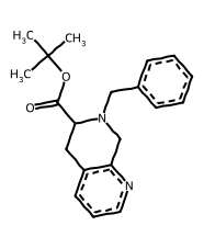 CC(C)(C)OC(=O)C1Cc2cccnc2CN1Cc1ccccc1